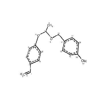 C=Cc1ccc(OC(C)OCc2ccc(O)cc2)cc1